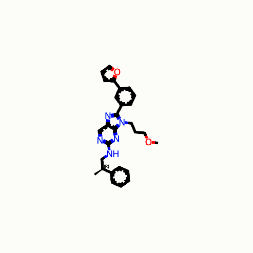 COCCCn1c(-c2cccc(-c3ccco3)c2)nc2cnc(NC[C@H](C)c3ccccc3)nc21